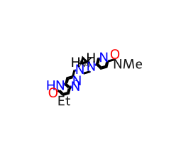 CCc1cc2nnc(CN3CCN(c4ccc(C(=O)NC)nc4)[C@H]4C[C@H]43)cc2[nH]c1=O